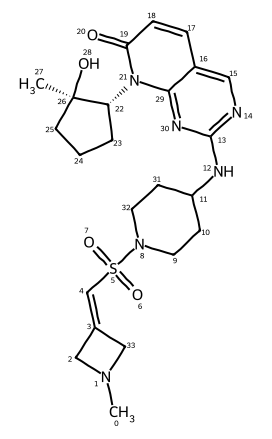 CN1CC(=CS(=O)(=O)N2CCC(Nc3ncc4ccc(=O)n([C@@H]5CCC[C@@]5(C)O)c4n3)CC2)C1